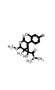 COC1OC(=O)C(c2ccc(Br)cc2Cl)=C2C(O)(C(=O)N(C)C)C21C